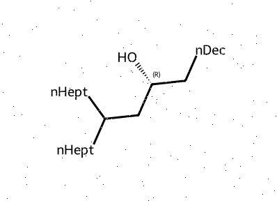 CCCCCCCCCCC[C@@H](O)CC(CCCCCCC)CCCCCCC